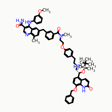 COc1cccc(Nc2c(C(N)=O)cnc3c(C)cc(Cc4cccc(C(=O)N(C)CCOc5ccc(CCNC[C@H](O[Si](C)(C)C(C)(C)C)c6ccc(OCc7ccccc7)c7[nH]c(=O)ccc67)cc5)c4)cc23)c1